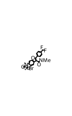 CNC(=O)c1c(-c2ccc(C(F)F)cc2)oc2cc(N(C)S(C)(=O)=O)c(Br)cc12